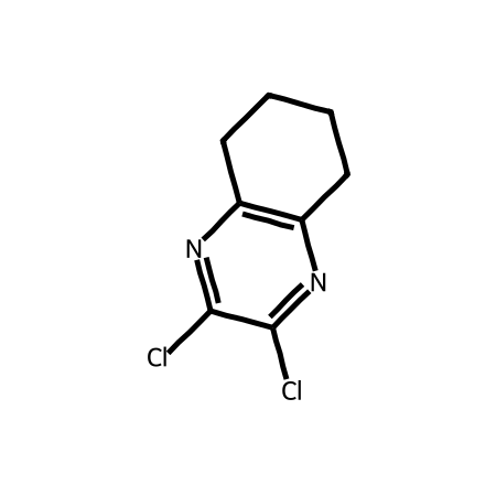 Clc1nc2c(nc1Cl)CCCC2